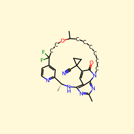 Cc1nc2c3cc(C4(C#N)CC4)c(=O)n(c3n1)CCCCCCC(C)OCCC(F)(F)c1ccnc(c1)[C@@H](C)N2